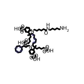 CC1(CCCCS(=O)(=O)O)C(/C=C/C=C/C=C2/N(CCCCCC(=O)NCCCCCN)c3ccc(S(=O)(=O)O)cc3C2(C)CCCCS(=O)(=O)O)=[N+](CCCC2=C/C=C\C=C/C=C\2)c2ccc(S(=O)(=O)O)cc21